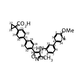 COc1ccc(-c2cccc(Nc3c(C)noc3-c3ccc(-c4ccc(C5(C(=O)O)CC5)cc4)cc3)c2)cn1